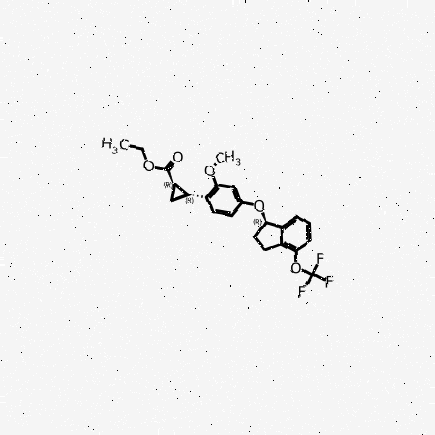 CCOC(=O)[C@@H]1C[C@H]1c1ccc(O[C@@H]2CCc3c(OC(F)(F)F)cccc32)cc1OC